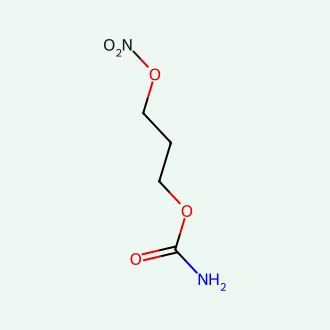 NC(=O)OCCCO[N+](=O)[O-]